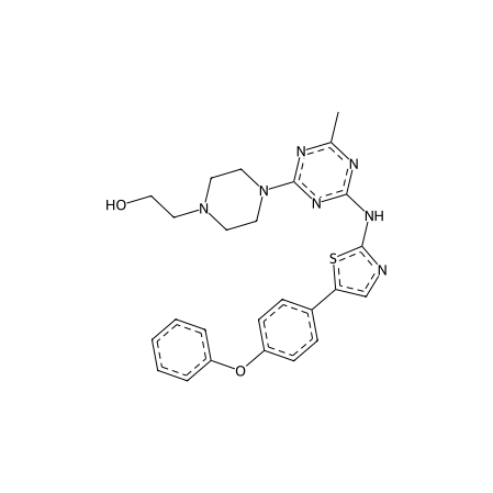 Cc1nc(Nc2ncc(-c3ccc(Oc4ccccc4)cc3)s2)nc(N2CCN(CCO)CC2)n1